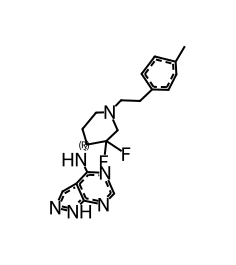 Cc1ccc(CCN2CC[C@@H](Nc3ncnc4[nH]ncc34)C(F)(F)C2)cc1